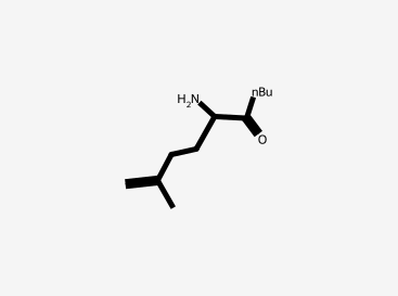 C=C(C)CCC(N)C(=O)CCCC